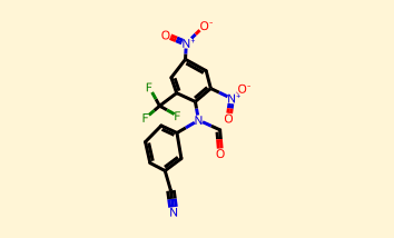 N#Cc1cccc(N(C=O)c2c([N+](=O)[O-])cc([N+](=O)[O-])cc2C(F)(F)F)c1